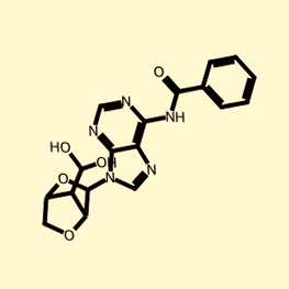 O=C(Nc1ncnc2c1ncn2C1OC2COC1C2C(O)O)c1ccccc1